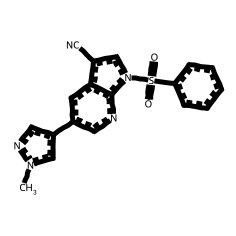 Cn1cc(-c2cnc3c(c2)c(C#N)cn3S(=O)(=O)c2ccccc2)cn1